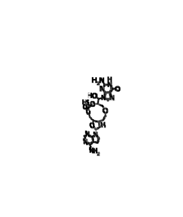 Nc1nc2c(ncn2[C@H](O)[C@H]2COCC[C@H]3C[C@H](n4ccc5c(N)ncnc54)OC3COP(=O)(S)O2)c(=O)[nH]1